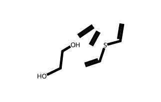 C=C.C=C.C=CSC=C.OCCO